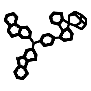 c1ccc2c(c1)-c1c(-c3ccc(N(c4ccc5c(ccc6ccccc65)c4)c4ccc5c(c4)oc4ccccc45)cc3)cccc1C21C2CC3CC(C2)CC1C3